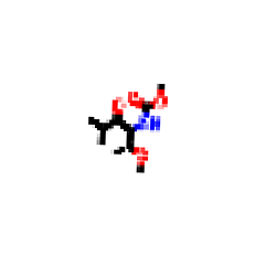 COC(=O)N[C@H](C(=O)C(C)C)[C@H](C)OC